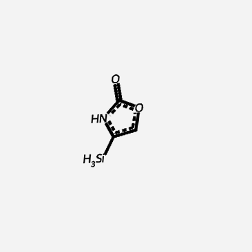 O=c1[nH]c([SiH3])co1